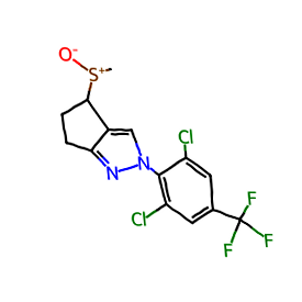 C[S+]([O-])C1CCc2nn(-c3c(Cl)cc(C(F)(F)F)cc3Cl)cc21